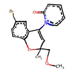 COCC1(C)C=C(n2ccccc2=O)c2cc(Br)ccc2O1